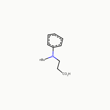 CCCCN(CCC(=O)O)c1ccccc1